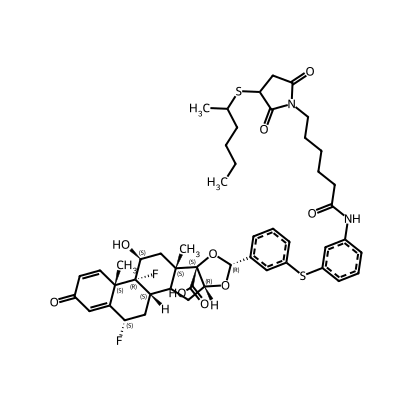 CCCCC(C)SC1CC(=O)N(CCCCCC(=O)Nc2cccc(Sc3cccc([C@@H]4O[C@@H]5CC6[C@@H]7C[C@H](F)C8=CC(=O)C=C[C@]8(C)[C@@]7(F)[C@@H](O)C[C@]6(C)[C@]5(C(=O)O)O4)c3)c2)C1=O